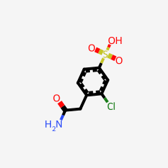 NC(=O)Cc1ccc(S(=O)(=O)O)cc1Cl